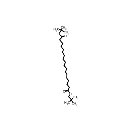 CC(C)(C)COC(=O)CCCCCCCCCCCCCCCCC(=O)OC(C)(C)C